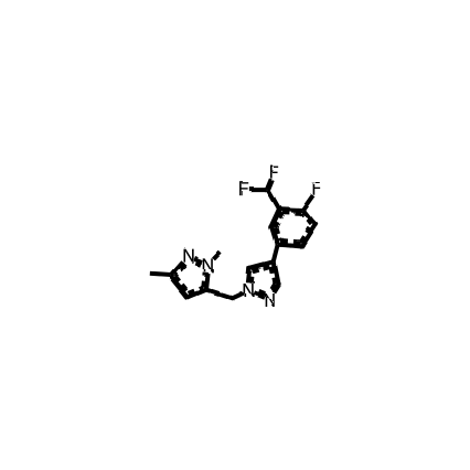 Cc1cc(Cn2cc(-c3ccc(F)c(C(F)F)c3)cn2)n(C)n1